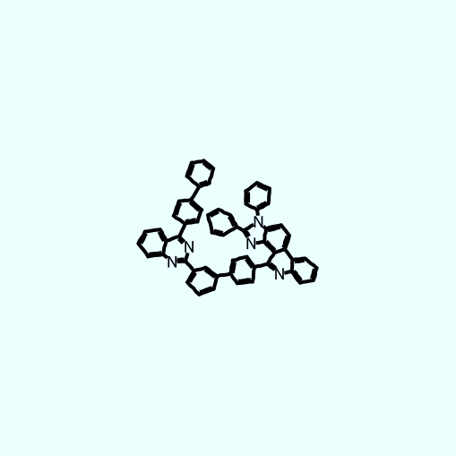 c1ccc(-c2ccc(-c3nc(-c4cccc(-c5ccc(-c6nc7ccccc7c7ccc8c(nc(-c9ccccc9)n8-c8ccccc8)c67)cc5)c4)nc4ccccc34)cc2)cc1